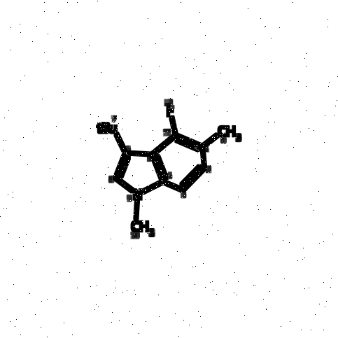 Cc1ccc2c(c(C(C)(C)C)cn2C)c1F